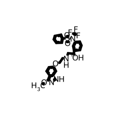 COc1n[nH]c2cc(OCCNC[C@H](O)c3cccc(N(C(F)(F)F)S(=O)(=O)c4ccccc4)c3)ccc12